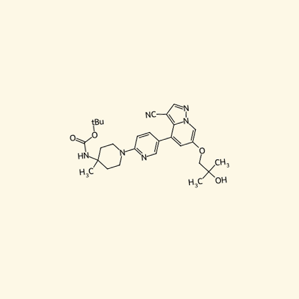 CC(C)(O)COc1cc(-c2ccc(N3CCC(C)(NC(=O)OC(C)(C)C)CC3)nc2)c2c(C#N)cnn2c1